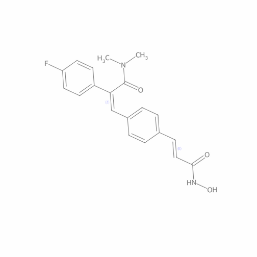 CN(C)C(=O)/C(=C\c1ccc(/C=C/C(=O)NO)cc1)c1ccc(F)cc1